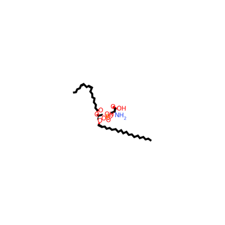 CCCC/C=C\C/C=C\CCCCCCCC(=O)O[C@H](CO/C=C\CCCCCCCCCCCCCCCCCC)COP(=O)(O)OC[C@H](N)C(=O)O